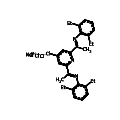 CCc1cccc(CC)c1N=C(C)c1cc(Cl)cc(C(C)=Nc2c(CC)cccc2CC)n1.[Cl-].[Cl-].[Cl-].[Nd+3]